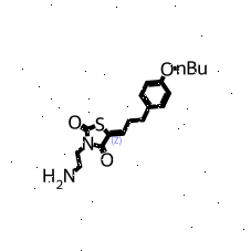 CCCCOc1ccc(CC/C=C2\SC(=O)N(CCN)C2=O)cc1